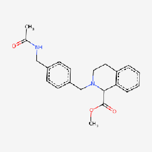 COC(=O)C1c2ccccc2CCN1Cc1ccc(CNC(C)=O)cc1